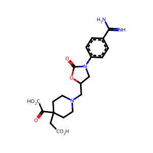 N=C(N)c1ccc(N2CC(CN3CCC(CC(=O)O)(C(=O)C(=O)O)CC3)OC2=O)cc1